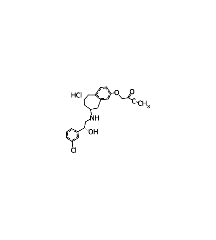 CCC(=O)COc1ccc2c(c1)CC(NC[C@H](O)c1cccc(Cl)c1)CCC2.Cl